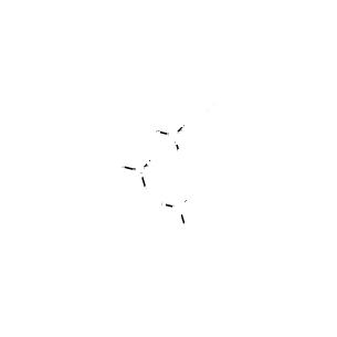 [Dy+3].[O-][Br+2]([O-])[O-].[O-][Br+2]([O-])[O-].[O-][Br+2]([O-])[O-]